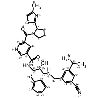 Cc1csc(C2CCCN2C(=O)c2cncc(C(=O)N[C@@H](Cc3ccccc3)[C@H](O)CNCc3cc(C#N)cc(C(C)C)c3)c2)n1